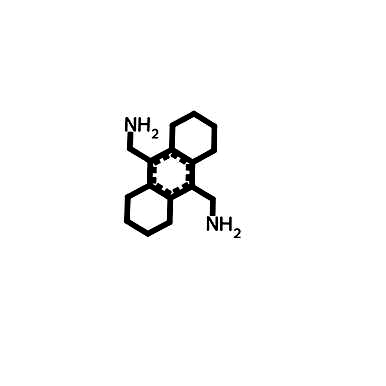 NCc1c2c(c(CN)c3c1CCCC3)CCCC2